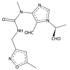 Cc1cc(CNC(=O)N(C)c2ncn([C@@H](C)C=O)c2C=O)no1